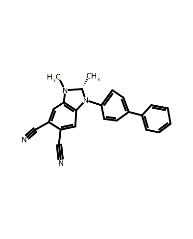 C[C@H]1N(C)c2cc(C#N)c(C#N)cc2N1c1ccc(-c2ccccc2)cc1